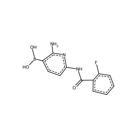 Nc1nc(NC(=O)c2ccccc2F)ccc1B(O)O